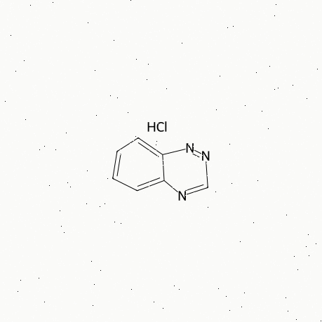 Cl.c1ccc2nncnc2c1